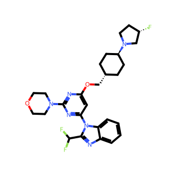 FC(F)c1nc2ccccc2n1-c1cc(OC[C@H]2CC[C@H](N3CC[C@H](F)C3)CC2)nc(N2CCOCC2)n1